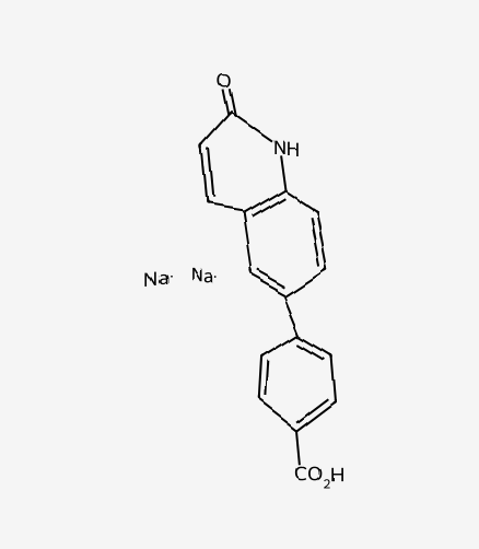 O=C(O)c1ccc(-c2ccc3[nH]c(=O)ccc3c2)cc1.[Na].[Na]